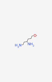 NCCC(N)CCC[O]